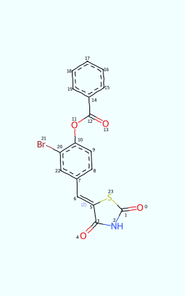 O=C1NC(=O)/C(=C/c2ccc(OC(=O)c3ccccc3)c(Br)c2)S1